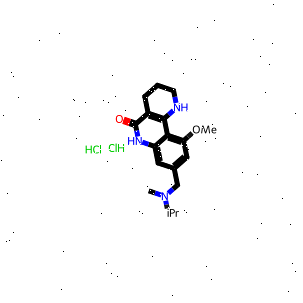 COc1cc(CN(C)C(C)C)cc2[nH]c(=O)c3c(c12)NCCC3.Cl.Cl